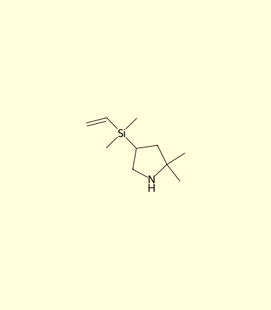 C=C[Si](C)(C)C1CNC(C)(C)C1